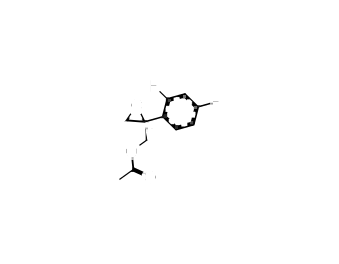 CC(=O)OC[C@@]1(c2ccc(F)cc2F)CO1